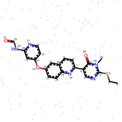 CCSc1ncc(-c2ccc3cc(Oc4ccnc(NC=O)c4)ccc3n2)c(=O)n1C